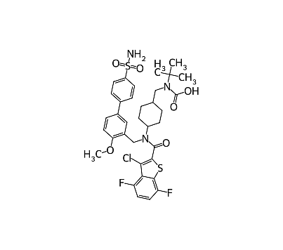 COc1ccc(-c2ccc(S(N)(=O)=O)cc2)cc1CN(C(=O)c1sc2c(F)ccc(F)c2c1Cl)C1CCC(CN(C(=O)O)C(C)(C)C)CC1